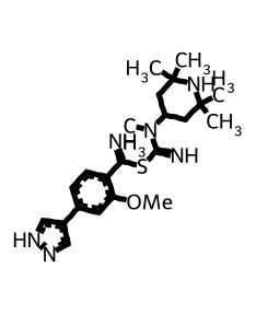 COc1cc(-c2cn[nH]c2)ccc1C(=N)SC(=N)N(C)C1CC(C)(C)NC(C)(C)C1